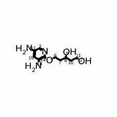 Nc1cnc(OCCC(O)CCO)c(N)c1